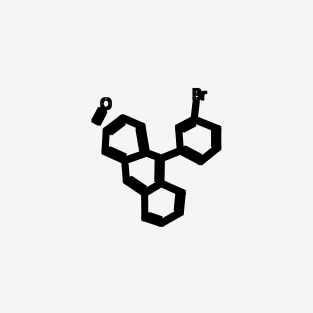 Brc1cccc(-c2c3ccccc3cc3ccccc23)c1.C=O